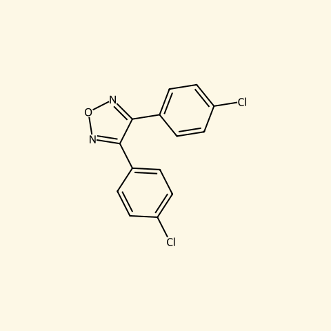 Clc1ccc(-c2nonc2-c2ccc(Cl)cc2)cc1